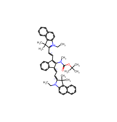 CCN1/C(=C/C=C2C(N(C)C(=O)OC(C)(C)C)=C(/C=C/C3=[N+](CC)c4ccc5ccccc5c4C3(C)C)c3ccccc3/2)C(C)(C)c2c1ccc1ccccc21